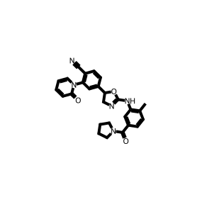 Cc1ccc(C(=O)N2CCCC2)cc1NC1=NCC(c2ccc(C#N)c(-n3ccccc3=O)c2)O1